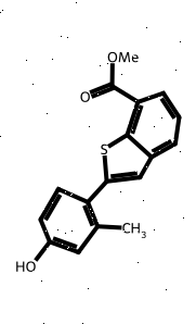 COC(=O)c1cccc2cc(-c3ccc(O)cc3C)sc12